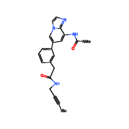 CNC(=O)Nc1cc(-c2cccc(CC(=O)NCC#CC(C)(C)C)c2)cn2ccnc12